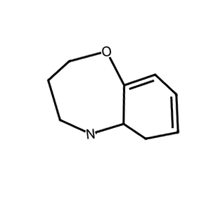 C1=CCC2[N]CCCOC2=C1